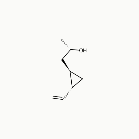 C=C[C@H]1C[C@@H]1C[C@H](C)O